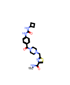 CC(C)(C)NC(=O)c1csc(CN2CCN(C(=O)c3ccc(NC(=O)NC4CCC4)cc3)CC2)n1